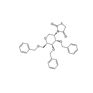 O=C1CSC(=O)N1[C@@H]1CO[C@H](COCc2ccccc2)[C@H](OCc2ccccc2)[C@@H]1OCc1ccccc1